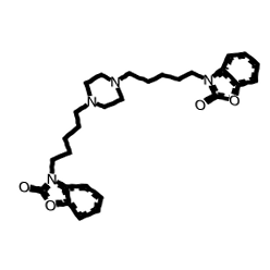 O=c1oc2ccccc2n1CCCCCN1CCN(CCCCCn2c(=O)oc3ccccc32)CC1